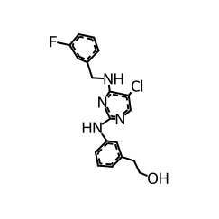 OCCc1cccc(Nc2ncc(Cl)c(NCc3cccc(F)c3)n2)c1